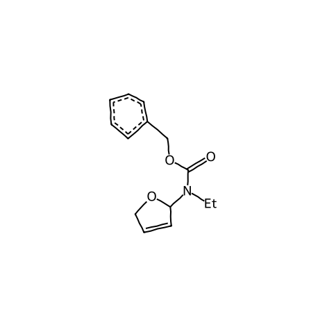 CCN(C(=O)OCc1ccccc1)C1C=CCO1